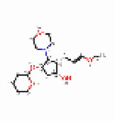 COC=CC[C@H]1[C@H](N2CCOCC2)[C@@H](OC2CCCCO2)C[C@H]1O